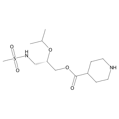 CC(C)O[C@@H](CNS(C)(=O)=O)COC(=O)C1CCNCC1